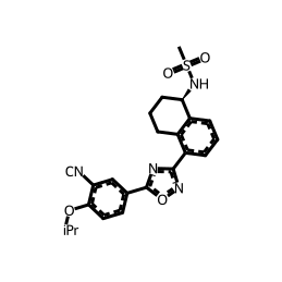 [C-]#[N+]c1cc(-c2nc(-c3cccc4c3CCC[C@H]4NS(C)(=O)=O)no2)ccc1OC(C)C